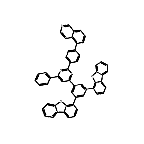 c1ccc(-c2cc(-c3cc(-c4cccc5c4oc4ccccc45)cc(-c4cccc5c4oc4ccccc45)c3)nc(-c3ccc(-c4cccc5cnccc45)cc3)n2)cc1